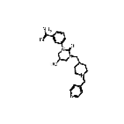 N=C(N)c1cccc(N2CC(O)CN(CC3CCN(Cc4ccncc4)CC3)C2=O)c1